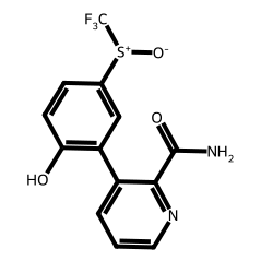 NC(=O)c1ncccc1-c1cc([S+]([O-])C(F)(F)F)ccc1O